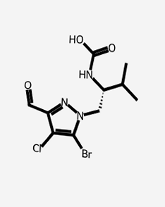 CC(C)[C@H](Cn1nc(C=O)c(Cl)c1Br)NC(=O)O